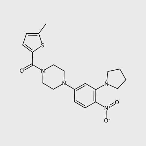 Cc1ccc(C(=O)N2CCN(c3ccc([N+](=O)[O-])c(N4CCCC4)c3)CC2)s1